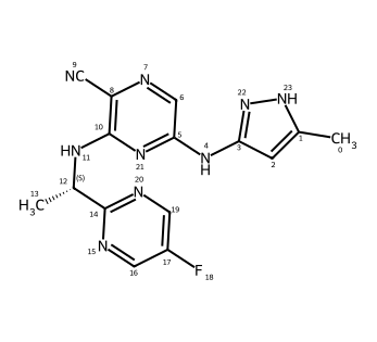 Cc1cc(Nc2cnc(C#N)c(N[C@@H](C)c3ncc(F)cn3)n2)n[nH]1